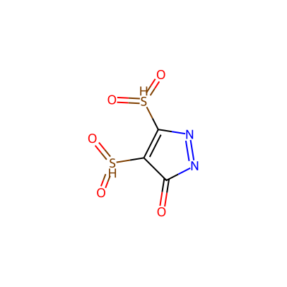 O=C1N=NC([SH](=O)=O)=C1[SH](=O)=O